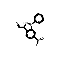 O=[N+]([O-])c1ccc2c(c1)N(c1ccccc1)NC2C=S